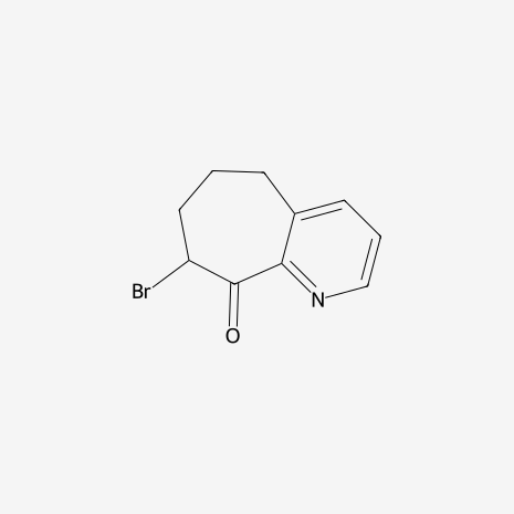 O=C1c2ncccc2CCCC1Br